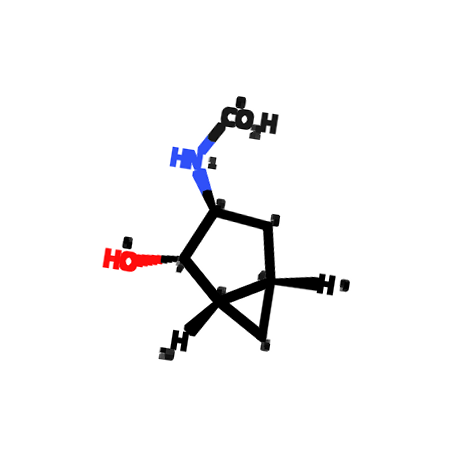 O=C(O)N[C@H]1C[C@@H]2C[C@@H]2[C@@H]1O